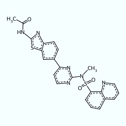 CC(=O)Nc1nc2ccc(-c3ccnc(N(C)S(=O)(=O)c4cccc5cccnc45)n3)cc2s1